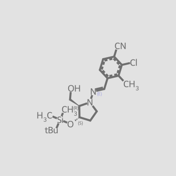 Cc1c(/C=N/N2CC[C@H](O[Si](C)(C)C(C)(C)C)[C@H]2CO)ccc(C#N)c1Cl